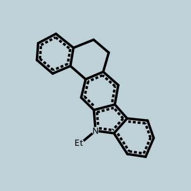 CCn1c2ccccc2c2cc3c(cc21)-c1ccccc1CC3